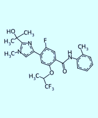 Cc1ccccc1NC(=O)c1cc(F)c(-c2cn(C)c(C(C)(C)O)n2)cc1OC(C)C(F)(F)F